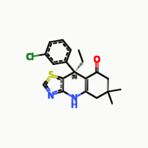 CC[C@]1(c2cccc(Cl)c2)C2=C(CC(C)(C)CC2=O)Nc2ncsc21